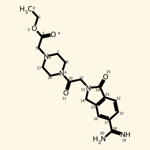 CCOC(=O)CN1CCN(C(=O)CN2Cc3cc(C(=N)N)ccc3C2=O)CC1